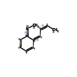 C\C=C/C=C1/C=CC=C/C1=N/C